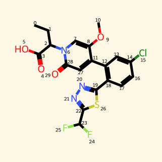 CCC(C(=O)O)n1cc(OC)c(-c2cc(Cl)ccc2-c2nnc(C(F)F)s2)cc1=O